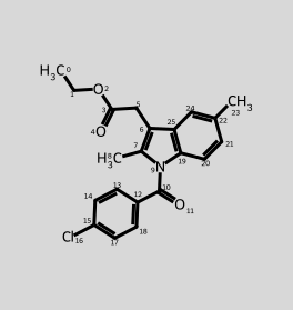 CCOC(=O)Cc1c(C)n(C(=O)c2ccc(Cl)cc2)c2ccc(C)cc12